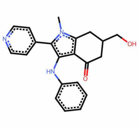 Cn1c2c(c(Nc3ccccc3)c1-c1ccncc1)C(=O)CC(CO)C2